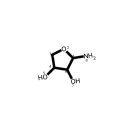 NC1OCC(O)C1O